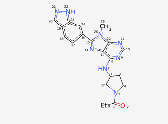 CCC(=O)N1CCC(Nc2ncnc3c2nc(-c2ccc4cn[nH]c4c2)n3C)C1